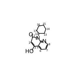 O=c1cc(O)c2cccnc2n1C1CCCCC1